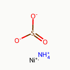 O=S([O-])[O-].[NH4+].[Ni+]